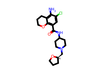 Nc1c(Cl)cc(C(=O)NC2CCN(C[C@H]3CCCO3)CC2)c2c1CCCO2